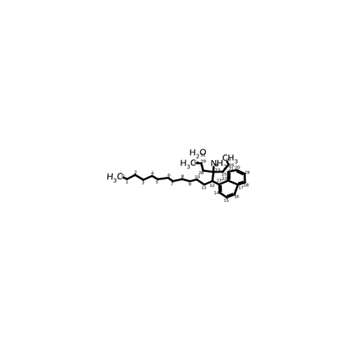 CCCCCCCCCCCCC(c1cccc2ccccc12)C(N)(CCC)CCC.O